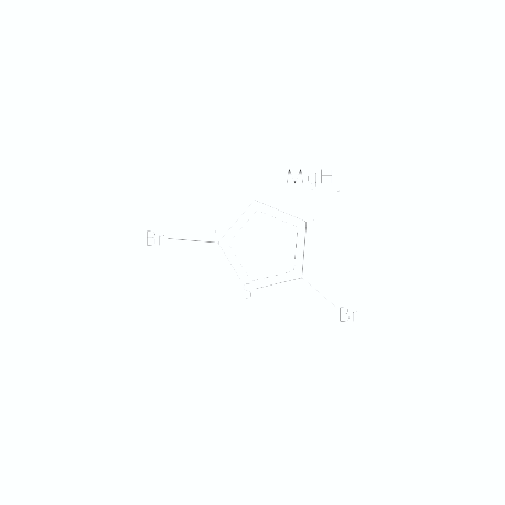 Brc1ccc(Br)s1.[MgH2]